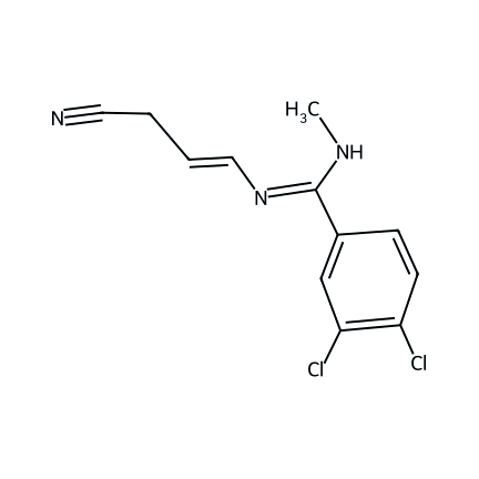 CN/C(=N\C=C\CC#N)c1ccc(Cl)c(Cl)c1